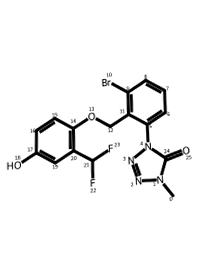 Cn1nnn(-c2cccc(Br)c2COc2ccc(O)cc2C(F)F)c1=O